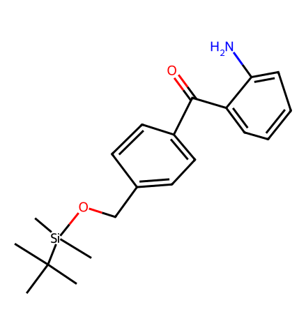 CC(C)(C)[Si](C)(C)OCc1ccc(C(=O)c2ccccc2N)cc1